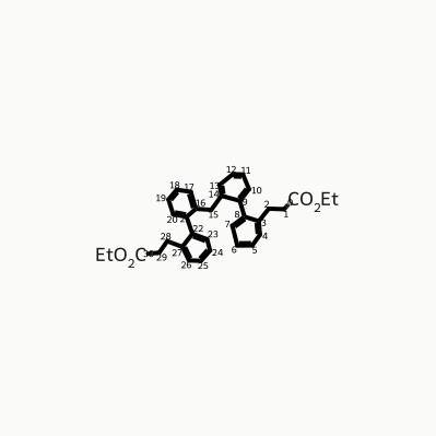 CCOC(=O)CCc1ccccc1-c1ccccc1Cc1ccccc1-c1ccccc1CCC(=O)OCC